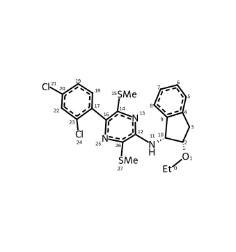 CCO[C@H]1Cc2ccccc2[C@H]1Nc1nc(SC)c(-c2ccc(Cl)cc2Cl)nc1SC